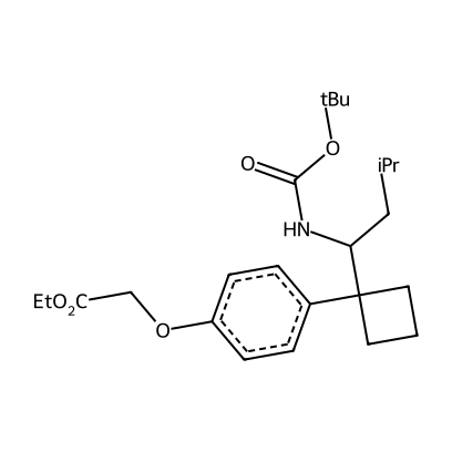 CCOC(=O)COc1ccc(C2(C(CC(C)C)NC(=O)OC(C)(C)C)CCC2)cc1